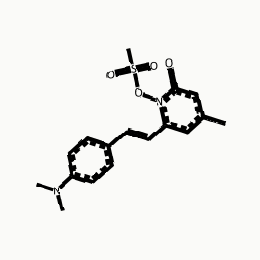 Cc1cc(C=Cc2ccc(N(C)C)cc2)n(OS(C)(=O)=O)c(=O)c1